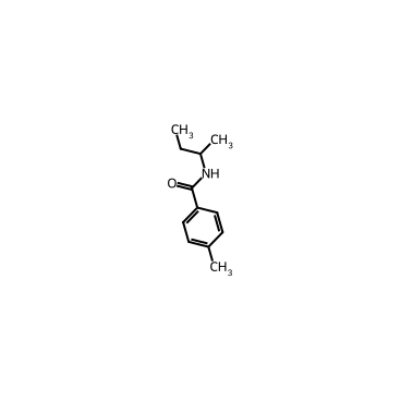 CCC(C)NC(=O)c1ccc(C)cc1